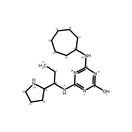 CCC(Nc1nc(O)nc(NC2CCCCCC2)n1)C1CCCN1